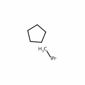 C1CCCC1.C[C](C)C